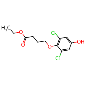 CCOC(=O)CCCOc1c(Cl)cc(O)cc1Cl